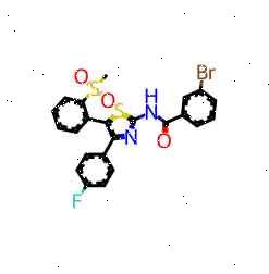 CS(=O)(=O)c1ccccc1-c1sc(NC(=O)c2cccc(Br)c2)nc1-c1ccc(F)cc1